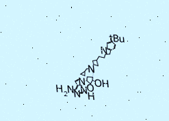 CC(C)(C)c1ccc2c(c1)N=C(CCC1CC(N(CC3CC3)C[C@H]3C[C@@H](n4ccc5c(N)ncnc54)[C@H](O)[C@@H]3O)C1)C2